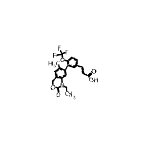 CCN1C(=O)OCc2cc(C)c(-c3cc(C=CC(=O)O)ccc3OC(F)(F)F)cc21